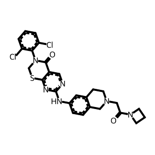 O=C(CN1CCc2cc(Nc3ncc4c(n3)SCN(c3c(Cl)cccc3Cl)C4=O)ccc2C1)N1CCC1